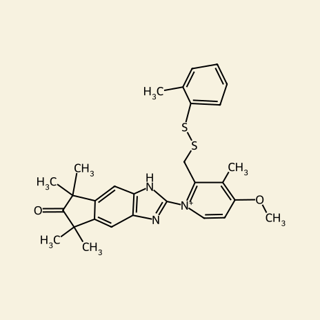 COc1cc[n+](-c2nc3cc4c(cc3[nH]2)C(C)(C)C(=O)C4(C)C)c(CSSc2ccccc2C)c1C